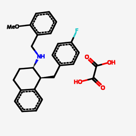 COc1ccccc1CN[C@H]1CCc2ccccc2[C@@H]1Cc1ccc(F)cc1.O=C(O)C(=O)O